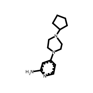 Nc1cc(N2CCN(C3CCCC3)CC2)ccn1